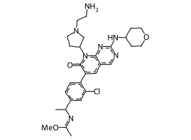 CO/C(C)=N\C(C)c1ccc(-c2cc3cnc(NC4CCOCC4)nc3n(C3CCN(CCN)C3)c2=O)c(Cl)c1